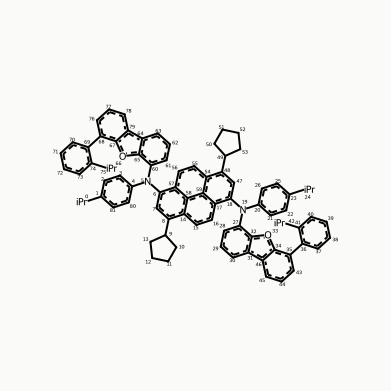 CC(C)c1ccc(N(c2cc(C3CCCC3)c3ccc4c(N(c5ccc(C(C)C)cc5)c5cccc6c5oc5c(-c7ccccc7C(C)C)cccc56)cc(C5CCCC5)c5ccc2c3c54)c2cccc3c2oc2c(-c4ccccc4C(C)C)cccc23)cc1